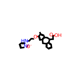 Cc1cc2c(cc1OCCCNc1cccc[n+]1[O-])Cc1ccccc1C(CC(=O)O)C2